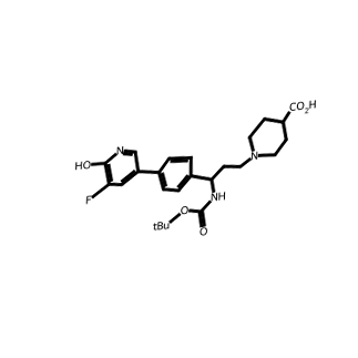 CC(C)(C)OC(=O)NC(CCN1CCC(C(=O)O)CC1)c1ccc(-c2cnc(O)c(F)c2)cc1